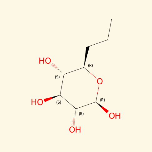 CCC[C@H]1O[C@@H](O)[C@H](O)[C@@H](O)[C@@H]1O